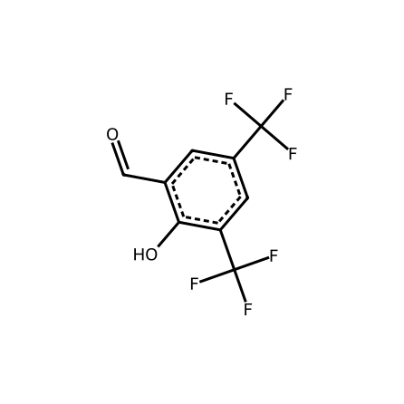 O=Cc1cc(C(F)(F)F)cc(C(F)(F)F)c1O